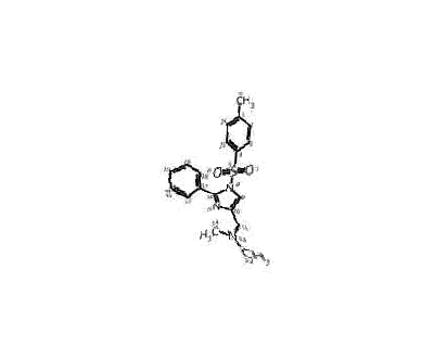 Cc1ccc(S(=O)(=O)n2cc(CN(C)C)nc2-c2ccccc2)cc1